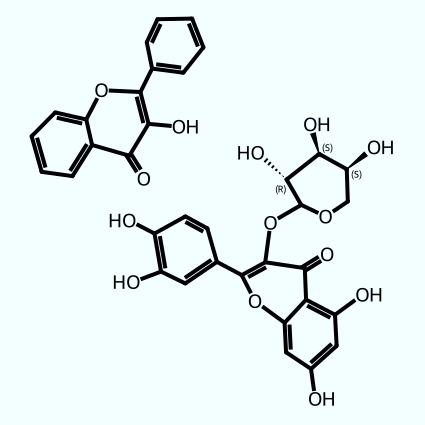 O=c1c(O)c(-c2ccccc2)oc2ccccc12.O=c1c(OC2OC[C@H](O)[C@H](O)[C@H]2O)c(-c2ccc(O)c(O)c2)oc2cc(O)cc(O)c12